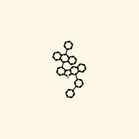 c1ccc(-c2cccc(-c3c4ccccc4cc4c3sc3cccc(-c5c6ccccc6c(-c6ccccc6)c6ccccc56)c34)c2)cc1